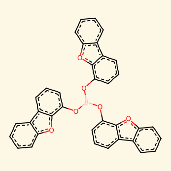 c1ccc2c(c1)oc1c(OB(Oc3cccc4c3oc3ccccc34)Oc3cccc4c3oc3ccccc34)cccc12